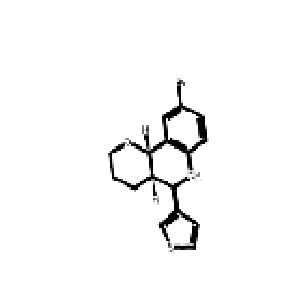 CC(C)c1ccc2c(c1)[C@H]1OCCC[C@H]1C(c1ccsc1)N2